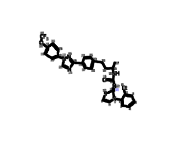 CCc1ccccc1-n1ccs/c1=N\C(=O)NC(C)CCc1ccc(-c2ncn(-c3ccc(OC(F)(F)F)cc3)n2)cc1